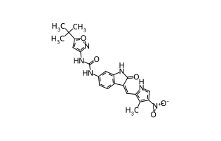 Cc1c([N+](=O)[O-])c[nH]c1/C=C1\C(=O)Nc2cc(NC(=O)Nc3cc(C(C)(C)C)on3)ccc21